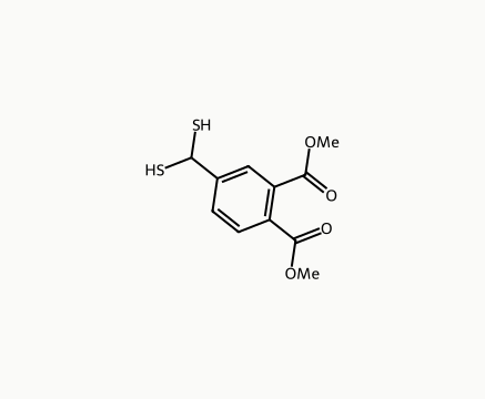 COC(=O)c1ccc(C(S)S)cc1C(=O)OC